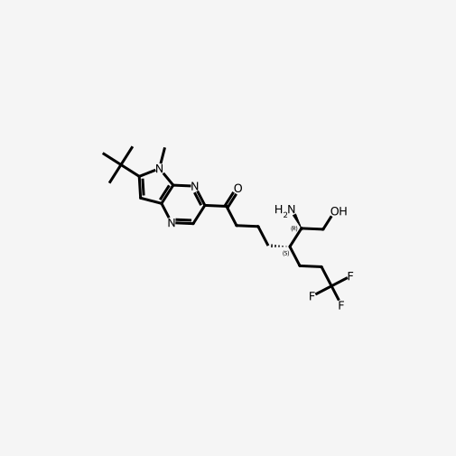 Cn1c(C(C)(C)C)cc2ncc(C(=O)CCC[C@@H](CCC(F)(F)F)[C@@H](N)CO)nc21